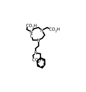 O=C(O)CN1CCN(CCN(CC(=O)O)Cc2ccccc2)CCN(CC(=O)O)CC1